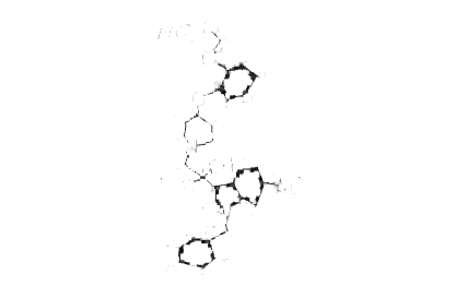 CC(CN1CCC(Oc2ccccc2OCC(=O)O)CC1)(c1cn(Cc2ccccc2)c2cc([N+](=O)[O-])ccc12)C(F)(F)F